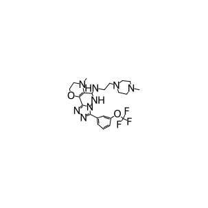 CN1CCN(CCNC2Nn3c(nnc3-c3cccc(OC(F)(F)F)c3)C3=C2N(C)CCO3)CC1